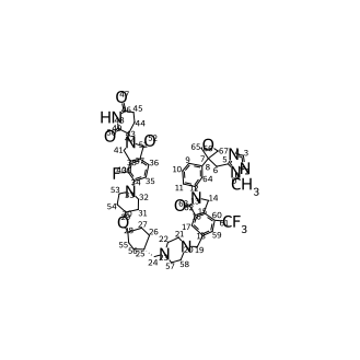 Cn1ncnc1CC1(c2cccc(N3Cc4c(cc(CN5CCN(C[C@H]6CC[C@H](OC7CCN(c8ccc9c(c8F)CN(C8CCC(=O)NC8=O)C9=O)CC7)CC6)CC5)cc4C(F)(F)F)C3=O)c2)COC1